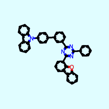 c1ccc(-c2nc(-c3cccc(-c4ccc(-n5c6ccccc6c6ccccc65)cc4)c3)nc(-c3cccc4c3oc3ccccc34)n2)cc1